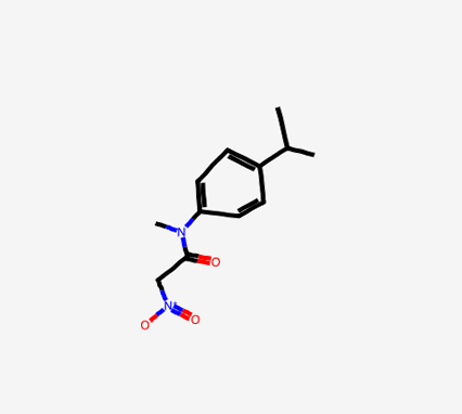 CC(C)c1ccc(N(C)C(=O)C[N+](=O)[O-])cc1